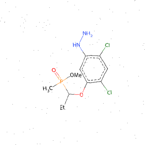 CCC(Oc1cc(NN)c(Cl)cc1Cl)P(C)(=O)OC